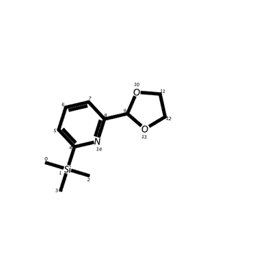 C[Si](C)(C)c1cccc(C2OCCO2)n1